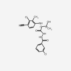 Cc1c(N[C@@H](C(=O)NNC(=O)c2cccc(Cl)c2)[C@H](C)O)ccc(C#N)c1Cl